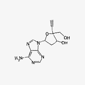 C#CC1(CO)OC(n2cnc3c(N)ncnc32)CC1O